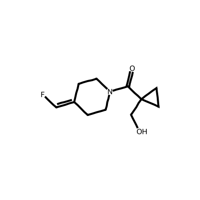 O=C(N1CCC(=CF)CC1)C1(CO)CC1